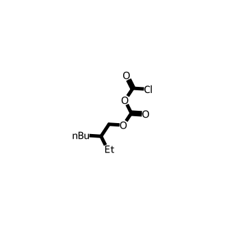 CCCCC(CC)COC(=O)OC(=O)Cl